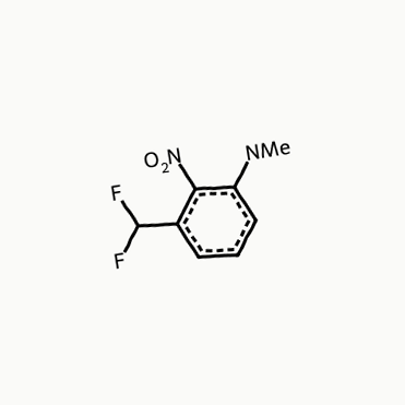 CNc1cccc(C(F)F)c1[N+](=O)[O-]